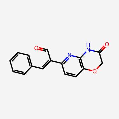 O=C/C(=C\c1ccccc1)c1ccc2c(n1)NC(=O)CO2